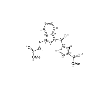 COC(=O)OCn1cc(C(=O)c2nc(C(=O)OC)cs2)c2ccccc21